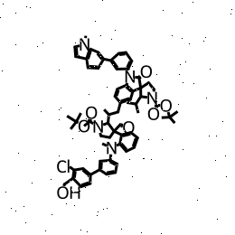 CC(C)C1N(C(=O)OC(C)(C)C)CCC12C(=O)N(c1cccc(-c3ccc4ccn(C)c4c3)c1)c1ccc(CC(C)C3N(C(=O)OC(C)(C)C)CCC3(C=O)c3ccccc3N(C)c3cccc(-c4ccc(CO)c(Cl)c4)c3)cc12